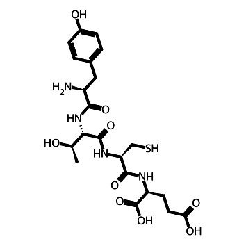 C[C@@H](O)[C@H](NC(=O)[C@@H](N)Cc1ccc(O)cc1)C(=O)N[C@@H](CS)C(=O)N[C@@H](CCC(=O)O)C(=O)O